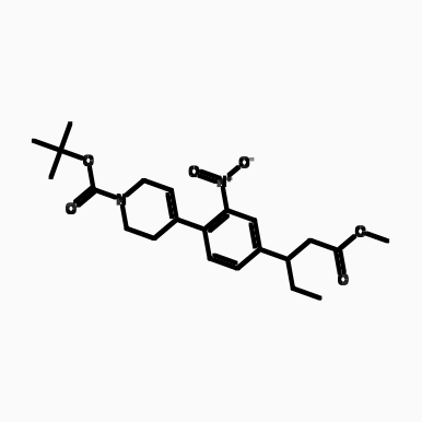 CCC(CC(=O)OC)c1ccc(C2=CCN(C(=O)OC(C)(C)C)CC2)c([N+](=O)[O-])c1